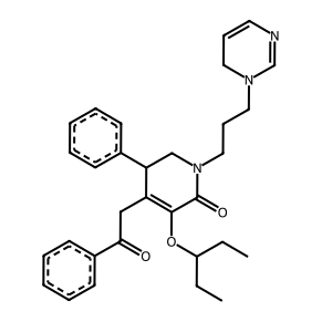 CCC(CC)OC1=C(CC(=O)c2ccccc2)C(c2ccccc2)CN(CCCN2C=NC=CC2)C1=O